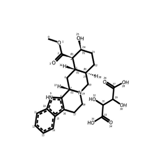 COC(=O)[C@@H]1[C@H]2C[C@H]3c4[nH]c5ccccc5c4CCN3C[C@@H]2CC[C@@H]1O.O=C(O)C(O)C(O)C(=O)O